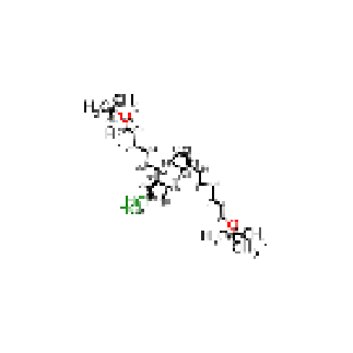 CC(C)(C)OCCCCCCC1=C=CC[CH]1[Ti][CH]1CC=C=C1CCCCCCOC(C)(C)C.Cl.Cl